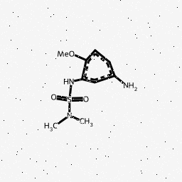 COc1ccc(N)cc1NS(=O)(=O)N(C)C